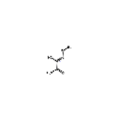 CCO/N=C(\C#N)C(N)=O